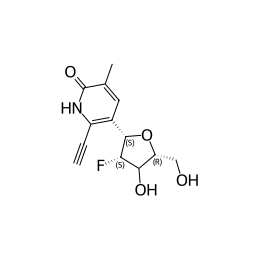 C#Cc1[nH]c(=O)c(C)cc1[C@@H]1O[C@H](CO)C(O)[C@@H]1F